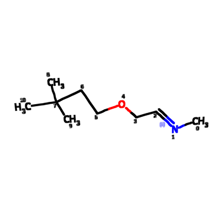 C/N=C/COCCC(C)(C)C